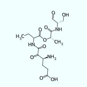 CCC(NC(=O)C(=O)[C@@H](N)CCC(=O)O)C(=O)O[C@@H](C)C(=O)N[C@H](C=O)CO